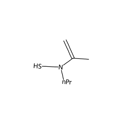 C=C(C)N(S)CCC